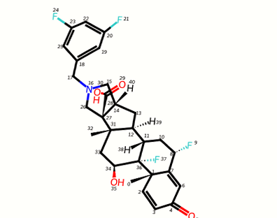 C[C@]12C=CC(=O)C=C1[C@@H](F)C[C@H]1[C@@H]3C[C@H]4CN(Cc5cc(F)cc(F)c5)C[C@@]4(C(=O)O)[C@@]3(C)C[C@H](O)[C@@]12F